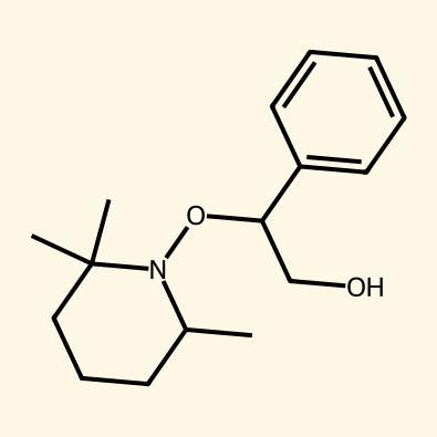 CC1CCCC(C)(C)N1OC(CO)c1ccccc1